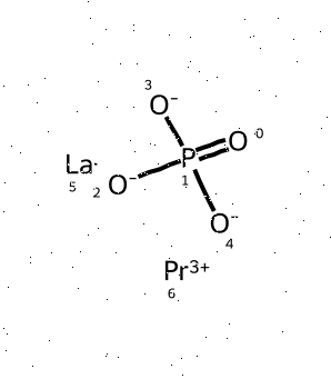 O=P([O-])([O-])[O-].[La].[Pr+3]